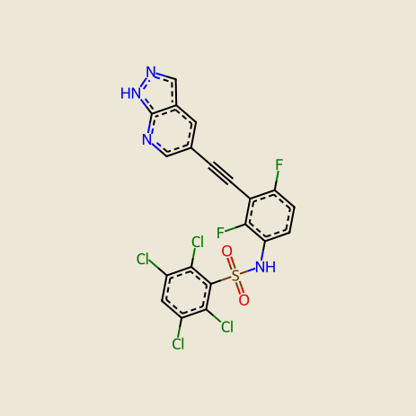 O=S(=O)(Nc1ccc(F)c(C#Cc2cnc3[nH]ncc3c2)c1F)c1c(Cl)c(Cl)cc(Cl)c1Cl